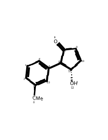 COc1cccc(C2C(=O)C=C[C@@H]2O)c1